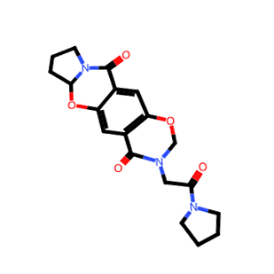 O=C(CN1COc2cc3c(cc2C1=O)OC1CCCN1C3=O)N1CCCC1